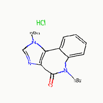 CCCCn1cnc2c(=O)n(CCCC)c3ccccc3c21.Cl